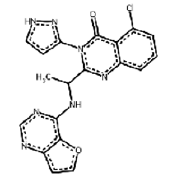 CC(Nc1ncnc2ccoc12)c1nc2cccc(Cl)c2c(=O)n1-c1cc[nH]n1